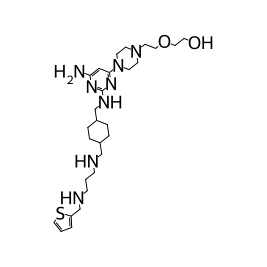 Nc1cc(N2CCN(CCOCCO)CC2)nc(NCC2CCC(CNCCCNCc3cccs3)CC2)n1